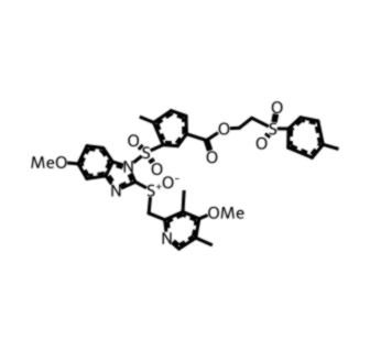 COc1ccc2c(c1)nc([S+]([O-])Cc1ncc(C)c(OC)c1C)n2S(=O)(=O)c1cc(C(=O)OCCS(=O)(=O)c2ccc(C)cc2)ccc1C